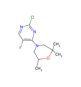 CC1CN(c2nc(Cl)ncc2F)CC(C)(C)O1